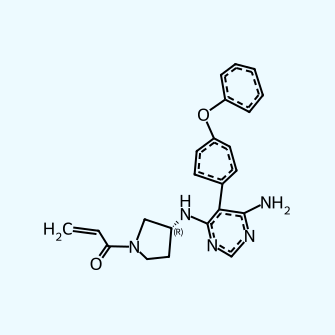 C=CC(=O)N1CC[C@@H](Nc2ncnc(N)c2-c2ccc(Oc3ccccc3)cc2)C1